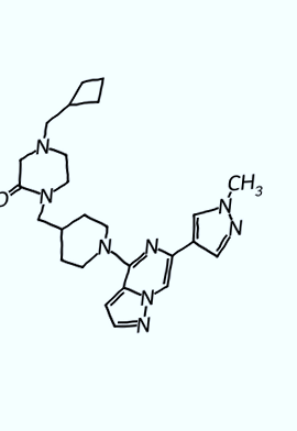 Cn1cc(-c2cn3nccc3c(N3CCC(CN4CCN(CC5CCC5)CC4=O)CC3)n2)cn1